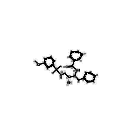 COc1cccc(C(C)(C)NC[C@@H](O)[C@H](Cc2ccccc2)NC(=O)c2ccccc2)c1